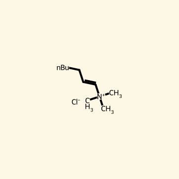 CCCCCC=C[N+](C)(C)C.[Cl-]